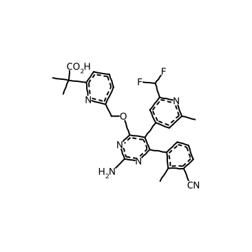 Cc1cc(-c2c(OCc3cccc(C(C)(C)C(=O)O)n3)nc(N)nc2-c2cccc(C#N)c2C)cc(C(F)F)n1